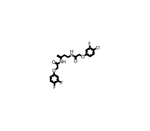 C=C(CCNC(=O)COc1ccc(Cl)c(F)c1)NC(=O)COc1ccc(F)c(F)c1